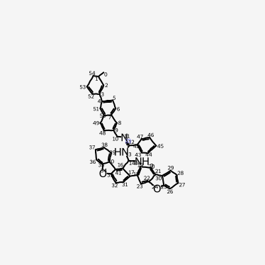 CC1C=C(c2ccc3cc(C/N=C(\NC(N)c4c(-c5ccc6c(c5)oc5ccccc56)ccc5oc6ccccc6c45)c4ccccc4)ccc3c2)C=CC1